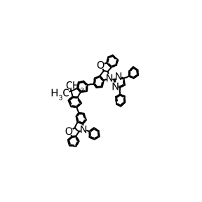 CC1(C)c2ccc(-c3ccc4c(c3)C3Oc5ccccc5C3N4c3ccccc3)cc2-c2cc(-c3ccc4c(c3)C3Oc5ccccc5C3N4c3nc(-c4ccccc4)cc(-c4ccccc4)n3)ccc21